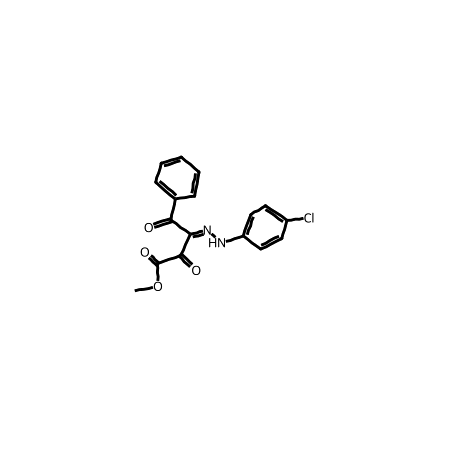 COC(=O)C(=O)C(=NNc1ccc(Cl)cc1)C(=O)c1ccccc1